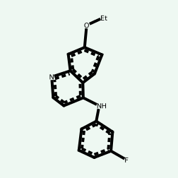 CCOc1ccc2c(Nc3cccc(F)c3)ccnc2c1